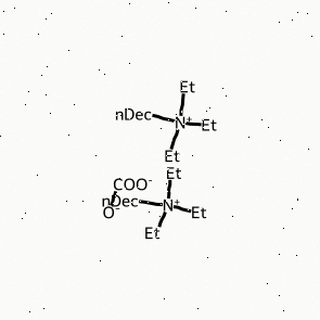 CCCCCCCCCC[N+](CC)(CC)CC.CCCCCCCCCC[N+](CC)(CC)CC.O=C([O-])[O-]